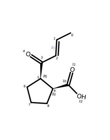 C/C=C/C(=O)[C@@H]1CCC[C@@H]1C(=O)O